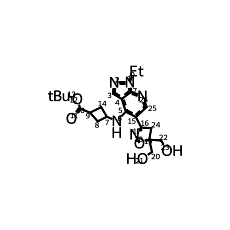 CCn1ncc2c(NC3CC(C(=O)OC(C)(C)C)C3)c(C3=NOC(CO)(CO)C3)cnc21